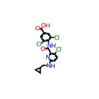 O=C(O)c1cc(Cl)c(NC(=O)c2nc(NCC3CC3)ccc2Cl)c(Cl)c1